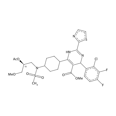 COC[C@H](CN(C1CCC(C2=C(C(=O)OC)C(c3ccc(F)c(F)c3Cl)N=C(c3nccs3)N2)CC1)S(C)(=O)=O)OC(C)=O